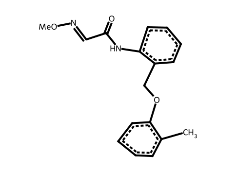 CON=CC(=O)Nc1ccccc1COc1ccccc1C